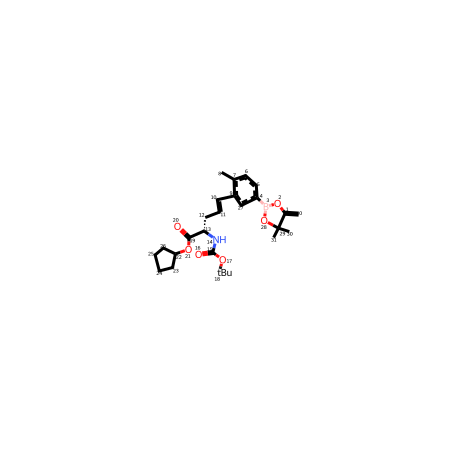 C=C1OB(c2ccc(C)c(/C=C/C[C@H](NC(=O)OC(C)(C)C)C(=O)OC3CCCC3)c2)OC1(C)C